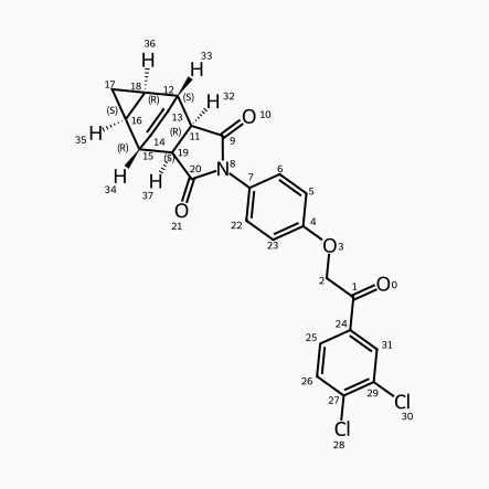 O=C(COc1ccc(N2C(=O)[C@@H]3[C@@H]4C=C[C@@H]([C@H]5C[C@@H]45)[C@@H]3C2=O)cc1)c1ccc(Cl)c(Cl)c1